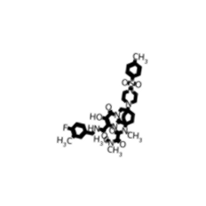 Cc1ccc(S(=O)(=O)N2CCN(C34CCC(N(C)C(=O)C(=O)N(C)C)(CC3)c3nc(C(=O)NCc5ccc(F)c(C)c5)c(O)c(=O)n3C4)CC2)cc1